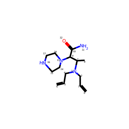 C=CCN(CC=C)C(C)C(C(N)=O)N1CCNCC1